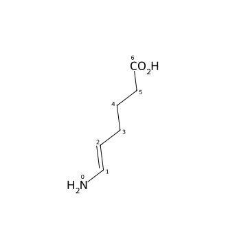 NC=CCCCC(=O)O